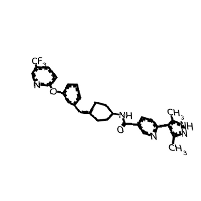 Cc1n[nH]c(C)c1-c1ccc(C(=O)NC2CCC(=Cc3cccc(Oc4ccc(C(F)(F)F)cn4)c3)CC2)cn1